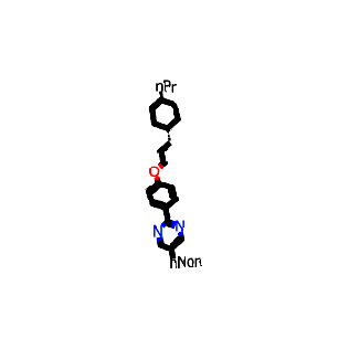 CCCCCCCCCc1cnc(-c2ccc(OCCC[C@H]3CC[C@H](CCC)CC3)cc2)nc1